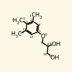 [CH2]c1c(C)cc(OCC(O)CO)cc1C